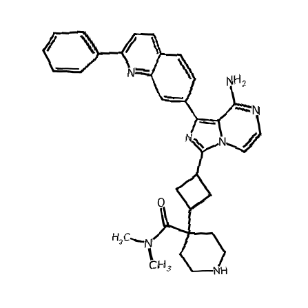 CN(C)C(=O)C1(C2CC(c3nc(-c4ccc5ccc(-c6ccccc6)nc5c4)c4c(N)nccn34)C2)CCNCC1